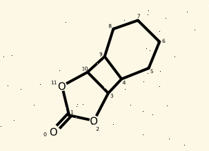 O=C1OC2C3CCCCC3C2O1